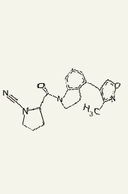 Cc1nocc1-c1cccc2c1CCN2C(=O)C1CCCN1C#N